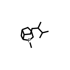 CC(C)C(C)CCC1C2CCCP(C)C1C2